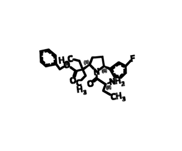 CC[C@@H](N)C(=O)N1[C@H](c2cccc(F)c2)CC[C@@H]1C(CC)(CC)C(=O)OCc1ccccc1